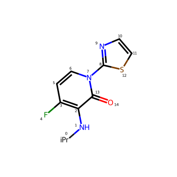 CC(C)Nc1c(F)ccn(-c2nccs2)c1=O